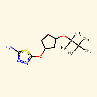 CC(C)(C)[Si](C)(C)OC1CCC(Oc2nnc(N)s2)C1